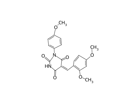 COc1ccc(N2C(=O)NC(=O)/C(=C/c3ccc(OC)cc3OC)C2=O)cc1